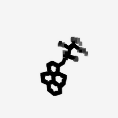 CC(=O)/C(C(=O)NCc1ccc2ccc3cccc4ccc1c2c34)=C(/N)C(Cl)(Cl)Cl